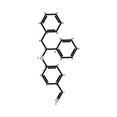 O=Cc1ccc(OC(Cc2ccccc2)c2ccccc2)cc1